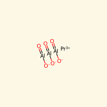 [O]=[Al][O-].[O]=[Al][O-].[O]=[Al][O-].[Pr+3]